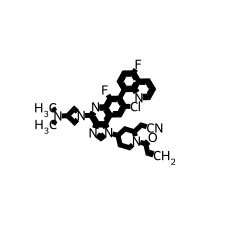 C=CC(=O)N1CCC(n2cnc3c(N4CC(N(C)C)C4)nc4c(F)c(-c5ccc(F)c6cccnc56)c(Cl)cc4c32)CC1CC#N